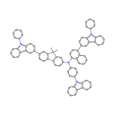 CC1(C)c2cc(-c3ccc4c(c3)c3ccccc3n4-c3ccccc3)ccc2-c2ccc(N(c3ccc(-n4c5ccccc5c5ccccc54)cc3)c3ccc(-c4ccc5c(c4)c4ccccc4n5-c4ccccc4)c4ccccc34)cc21